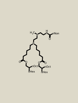 CCCCCCCCCC(=O)NCCN(C)CCN(CCCCCC(=O)OCC(CCCCCC)CCCCCCCC)CCCCCC(=O)OCC(CCCCCC)CCCCCCCC